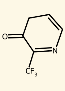 O=C1CC=CN=C1C(F)(F)F